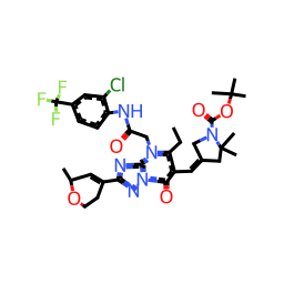 CCc1c(/C=C2\CN(C(=O)OC(C)(C)C)C(C)(C)C2)c(=O)n2nc(C3=CC(C)OCC3)nc2n1CC(=O)Nc1ccc(C(F)(F)F)cc1Cl